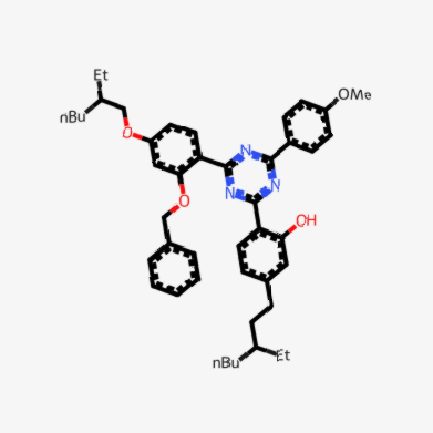 CCCCC(CC)CCc1ccc(-c2nc(-c3ccc(OC)cc3)nc(-c3ccc(OCC(CC)CCCC)cc3OCc3ccccc3)n2)c(O)c1